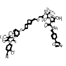 CC(C)(C)[C@H](NC(=O)COCC1CC2(C1)CC(COc1ccc(N3C(=S)N(c4ccc(C#N)c(Cl)c4)C(=O)C3(C)C)cc1)C2)C(=O)N1C[C@H](O)C[C@H]1C(=O)NCc1ccc(-c2cnco2)cc1